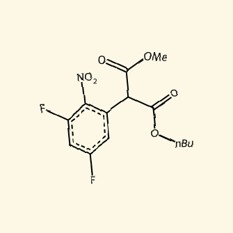 CCCCOC(=O)C(C(=O)OC)c1cc(F)cc(F)c1[N+](=O)[O-]